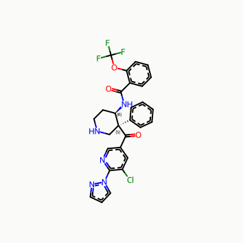 O=C(N[C@@H]1CCNC[C@@]1(C(=O)c1cnc(-n2cccn2)c(Cl)c1)c1ccccc1)c1ccccc1OC(F)(F)F